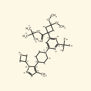 COC1(OC)CC(C(=O)OC(C)(C)C)(c2cc(N3CCC(c4c(C)cnn4C4COC4)CC3)nc(C(F)(F)F)n2)C1